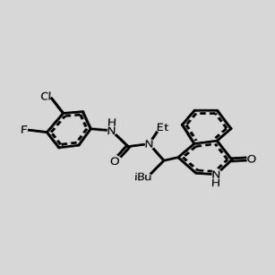 CCC(C)C(c1c[nH]c(=O)c2ccccc12)N(CC)C(=O)Nc1ccc(F)c(Cl)c1